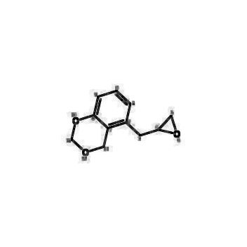 c1cc(CC2CO2)c2c(c1)OCOC2